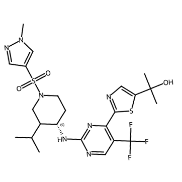 CC(C)C1CN(S(=O)(=O)c2cnn(C)c2)CC[C@@H]1Nc1ncc(C(F)(F)F)c(-c2ncc(C(C)(C)O)s2)n1